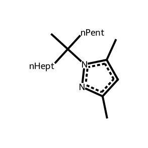 CCCCCCCC(C)(CCCCC)n1nc(C)cc1C